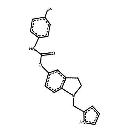 CC(C)c1ccc(NC(=O)Oc2ccc3c(c2)CCN3Cc2ccc[nH]2)cc1